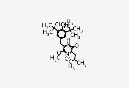 COc1c(Cc2cc(C(C)(C)C)c(O)c(C(C)(C)C)c2)[nH]c(=O)c(CC(C)C)[n+]1[O-]